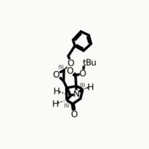 CC(C)(C)OC(=O)N1[C@H]2CC[C@H](C(=O)C2)[C@H]1C1O[C@@H]1OCc1ccccc1